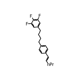 CCCC=Cc1ccc(CCCCc2cc(F)c(F)c(F)c2)cc1